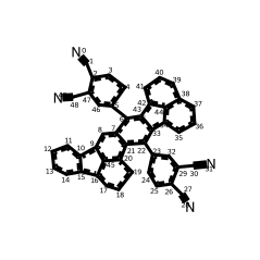 N#Cc1ccc(-c2c3cc4c5ccccc5c5cccc(c3c(-c3ccc(C#N)c(C#N)c3)c3c6cccc7cccc(c23)c76)c54)cc1C#N